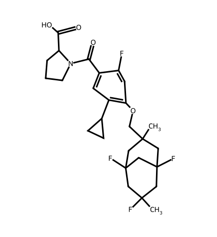 CC1(F)CC2(F)CC(C)(COc3cc(F)c(C(=O)N4CCCC4C(=O)O)cc3C3CC3)CC(F)(C1)C2